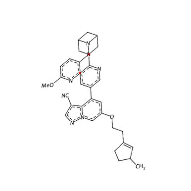 COc1ccc(CN2C3CC2CN(c2ccc(-c4cc(OCCC5=CC(C)CC5)cn5ncc(C#N)c45)cn2)C3)cn1